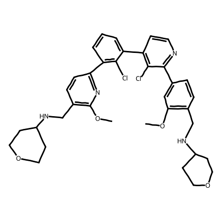 COc1cc(-c2nccc(-c3cccc(-c4ccc(CNC5CCOCC5)c(OC)n4)c3Cl)c2Cl)ccc1CNC1CCOCC1